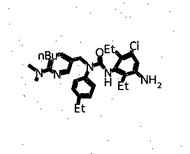 C=C(/N=C\C(=C/CCCC)CN(C(=O)Nc1c(CC)c(N)cc(Cl)c1CC)c1ccc(CC)cc1)N(C)C